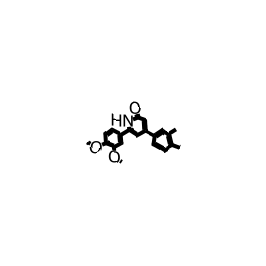 COc1ccc(-c2cc(-c3ccc(C)c(C)c3)cc(=O)[nH]2)cc1OC